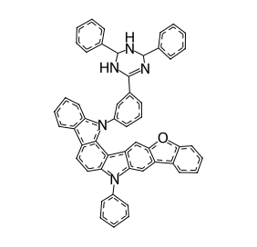 c1ccc(C2N=C(c3cccc(-n4c5ccccc5c5ccc6c(c7cc8oc9ccccc9c8cc7n6-c6ccccc6)c54)c3)NC(c3ccccc3)N2)cc1